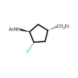 CCOC(=O)[C@H]1C[C@H](NC(C)=O)[C@@H](F)C1